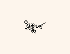 CCCCOC(=O)N1CCN(C(=O)C(CP(=O)(OCC)OCC)NC(=O)c2cc(C(C)C)cc(-c3ccccc3)n2)CC1